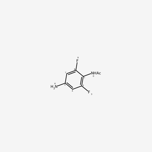 CC(=O)Nc1c(F)cc(N)cc1F